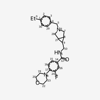 CCc1ccc(CN2CC3C(CNC(=O)c4ccc(N5CCOCC5)c(F)c4)C3C2)cc1